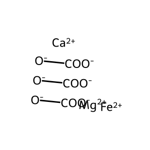 O=C([O-])[O-].O=C([O-])[O-].O=C([O-])[O-].[Ca+2].[Fe+2].[Mg+2]